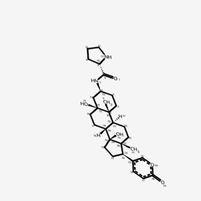 C[C@]12CC[C@H](NC(=O)[C@@H]3CCCN3)C[C@@]1(O)CC[C@@H]1[C@@H]2CC[C@]2(C)[C@@H](c3ccc(=O)oc3)CC[C@]12O